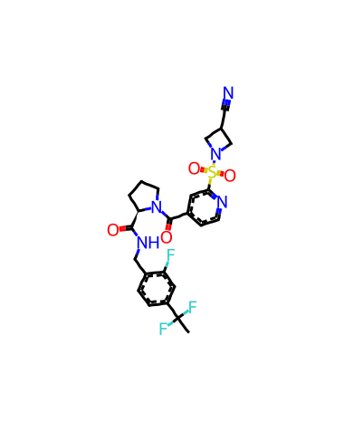 CC(F)(F)c1ccc(CNC(=O)[C@H]2CCCN2C(=O)c2ccnc(S(=O)(=O)N3CC(C#N)C3)c2)c(F)c1